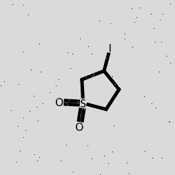 O=S1(=O)CCC(I)C1